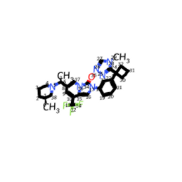 C[C@H]1CCCN([C@@H](C)c2cc(C(F)(F)F)c3cn(-c4cccc(C5(c6nncn6C)CCC5)c4)c(=O)n3c2)C1